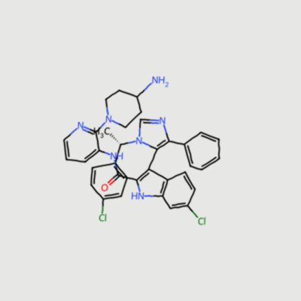 C[C@@H](c1ccc(Cl)cc1)n1cnc(-c2ccccc2)c1-c1c(C(=O)Nc2cccnc2N2CCC(N)CC2)[nH]c2cc(Cl)ccc12